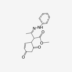 COC(=O)C(C(C)=NNc1ccccc1)C1C=CC(=O)CC1=O